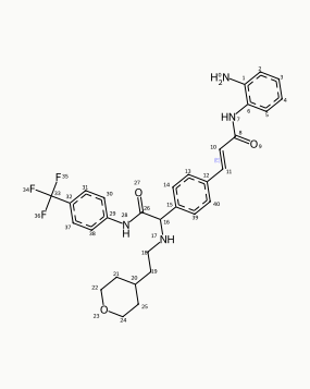 Nc1ccccc1NC(=O)/C=C/c1ccc(C(NCCC2CCOCC2)C(=O)Nc2ccc(C(F)(F)F)cc2)cc1